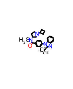 Cc1nc2ccccc2n1-c1ccc(C(=O)N(C)C2CCN(C3CCC3)C2)cc1C(F)(F)F